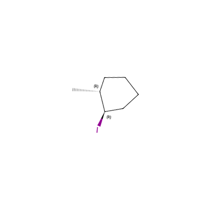 C[C@@H]1CCCC[C@H]1I